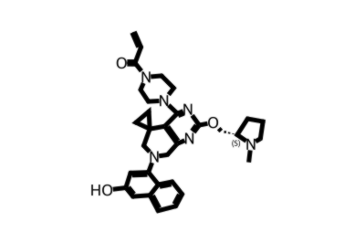 C=CC(=O)N1CCN(c2nc(OC[C@@H]3CCCN3C)nc3c2C2(CC2)CN(c2cc(O)cc4ccccc24)C3)CC1